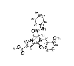 COC(=O)c1cc2n(n1)CC(C)(C(=O)NC1CCC(C)CC1)N(Cc1ccccc1OC)C2=O